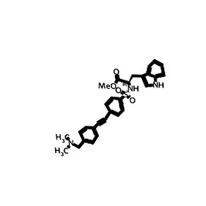 COC(=O)[C@@H](Cc1c[nH]c2ccccc12)NS(=O)(=O)c1ccc(C#Cc2ccc(CN(C)C)cc2)cc1